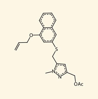 C=CCOc1cc(SCc2cc(COC(C)=O)nn2C)cc2ccccc12